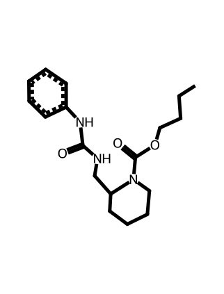 CCCCOC(=O)N1CCCCC1CNC(=O)Nc1ccccc1